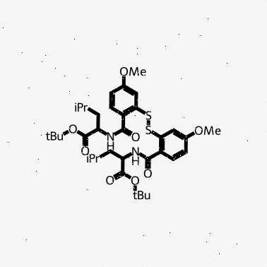 COc1ccc(C(=O)NC(CC(C)C)C(=O)OC(C)(C)C)c(SSc2cc(OC)ccc2C(=O)NC(CC(C)C)C(=O)OC(C)(C)C)c1